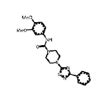 COc1ccc(NC(=O)N2CCN(c3nc(-c4ccccc4)ns3)CC2)cc1OC